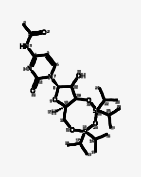 CC(=O)Nc1ccn([C@@H]2O[C@@H]3CO[Si](C(C)C)(C(C)C)O[Si](C(C)C)(C(C)C)OC3C2O)c(=O)n1